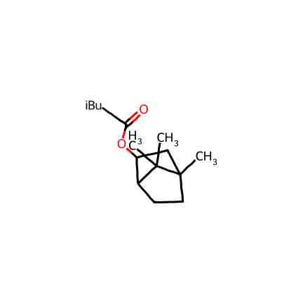 CCC(C)C(=O)OC1CC2(C)CCC1C2(C)C